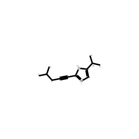 CC(C)CC#Cc1ncc(C(C)C)o1